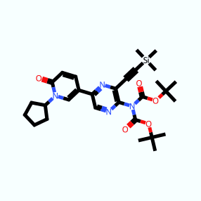 CC(C)(C)OC(=O)N(C(=O)OC(C)(C)C)c1ncc(-c2ccc(=O)n(C3CCCC3)c2)nc1C#C[Si](C)(C)C